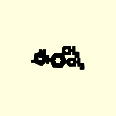 Cc1ccc(-n2c[c]cn2)cc1C